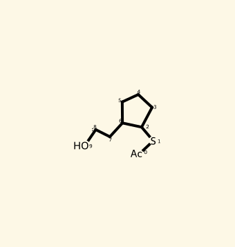 CC(=O)SC1CCCC1C[C]O